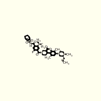 COC[C@H]1CN(c2cc(C)c3c4c(c(=O)oc3c2C)CN(C(=O)c2cc(N(C)C)c(C(=O)NS(=O)(=O)N3C5CCC3CC5)cc2F)CC4)CCN1C